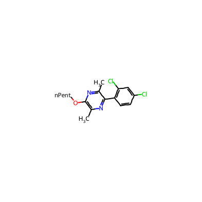 CCCCCOc1nc(C)c(-c2ccc(Cl)cc2Cl)nc1C